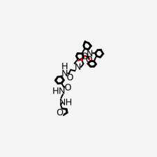 O=C(CCN1CCC(OC(=O)N(c2ccccc2-c2ccccc2)c2ccccc2-c2ccccc2)CC1)Nc1cccc(C(=O)NCCNCc2ccco2)c1